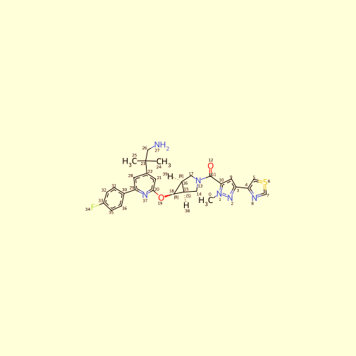 Cn1nc(-c2cscn2)cc1C(=O)N1C[C@@H]2[C@H](C1)[C@@H]2Oc1cc(C(C)(C)CN)cc(-c2ccc(F)cc2)n1